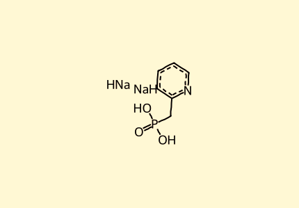 O=P(O)(O)Cc1ccccn1.[NaH].[NaH]